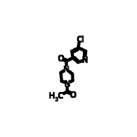 CC(=O)N1CCN(C(=O)c2cncc(Cl)c2)CC1